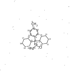 Cc1ccc([PH]([CH](Cl)[Pd])(C2CCCCC2)C2CCCCC2)cc1